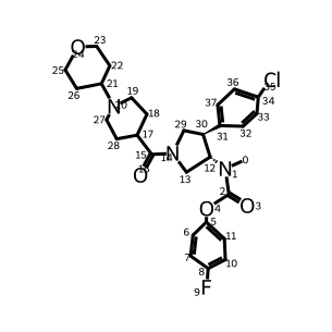 CN(C(=O)Oc1ccc(F)cc1)[C@@H]1CN(C(=O)C2CCN(C3CCOCC3)CC2)C[C@H]1c1ccc(Cl)cc1